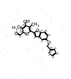 CC1=C(c2cc3cc(OCc4cccs4)ccc3o2)OC(C=O)C(C)=C1O